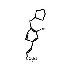 CCOC(=O)/C=C/c1ccc(SC2CCCC2)c(Br)c1